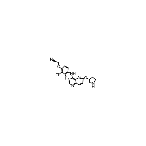 N#CCOc1ccc(Nc2ncnc3ccc(O[C@H]4CCNC4)nc23)c(F)c1Cl